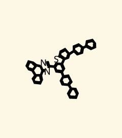 c1ccc(-c2ccc(-c3ccc4sc5c(-c6cnc7c8ccccc8c8ccccc8c7n6)cc(-c6ccc(-c7ccccc7)cc6)cc5c4c3)cc2)cc1